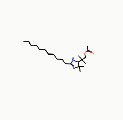 CCCCCCCCCCCC1=NC(C)(C)C(C(C)(C)COC(C)=O)N1